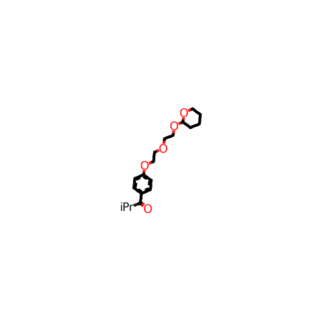 CC(C)C(=O)c1ccc(OCCOCCOC2CCCCO2)cc1